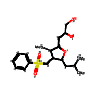 COC(C[C@@H]1OC(CC(O)CO)[C@H](OC)C1CS(=O)(=O)c1ccccc1)OC